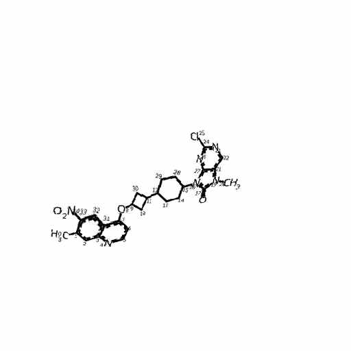 Cc1cc2nccc(OC3CC(C4CCC(n5c(=O)n(C)c6cnc(Cl)nc65)CC4)C3)c2cc1[N+](=O)[O-]